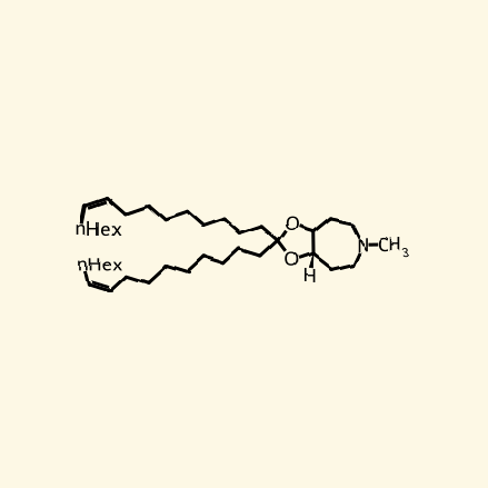 CCCCCC/C=C\CCCCCCCCC1(CCCCCCCC/C=C\CCCCCC)OC2CCN(C)CC[C@@H]2O1